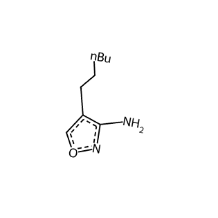 CCCCCCc1conc1N